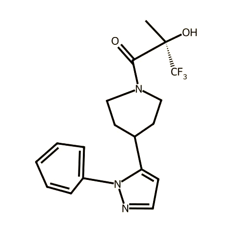 C[C@@](O)(C(=O)N1CCC(c2ccnn2-c2ccccc2)CC1)C(F)(F)F